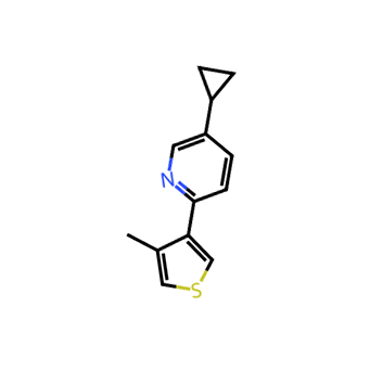 Cc1cscc1-c1ccc(C2CC2)cn1